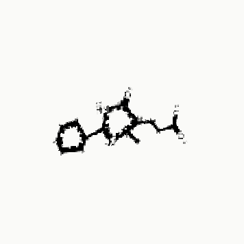 Cc1nc(-c2ccccc2)[nH]c(=O)c1CCC(=O)Cl